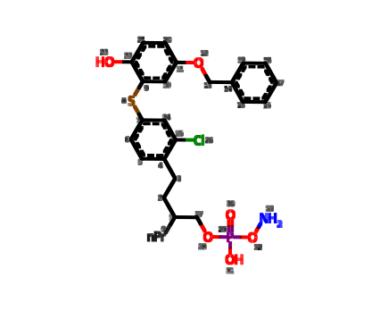 CCCC(CCc1ccc(Sc2cc(OCc3ccccc3)ccc2O)cc1Cl)COP(=O)(O)ON